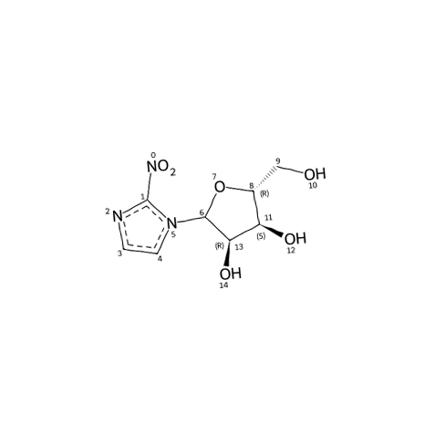 O=[N+]([O-])c1nccn1C1O[C@H](CO)[C@@H](O)[C@H]1O